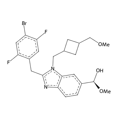 COCC1CC(Cn2c(Cc3cc(F)c(Br)cc3F)nc3ccc([C@@H](O)OC)cc32)C1